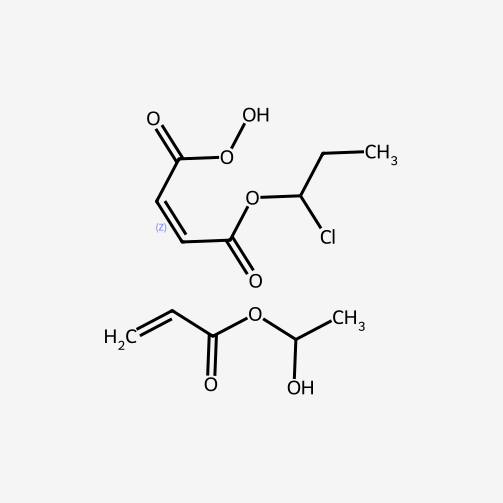 C=CC(=O)OC(C)O.CCC(Cl)OC(=O)/C=C\C(=O)OO